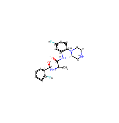 CC(NC(=O)c1ccccc1F)C(=O)Nc1cc(F)ccc1N1CCNCC1